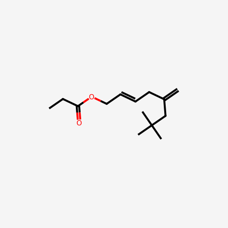 C=C(CC=CCOC(=O)CC)CC(C)(C)C